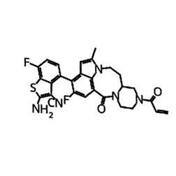 C=CC(=O)N1CCN2C(=O)c3cc(F)c(-c4ccc(F)c5sc(N)c(C#N)c45)c4cc(C)n(c34)CCC2C1